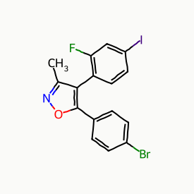 Cc1noc(-c2ccc(Br)cc2)c1-c1ccc(I)cc1F